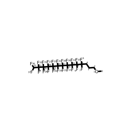 COCCCC(F)(F)C(F)(F)C(F)(F)C(F)(F)C(F)(F)C(F)(F)C(F)(F)C(F)(F)C(F)(F)C(F)(F)C(F)F